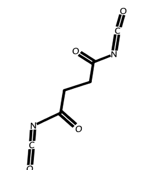 O=C=NC(=O)CCC(=O)N=C=O